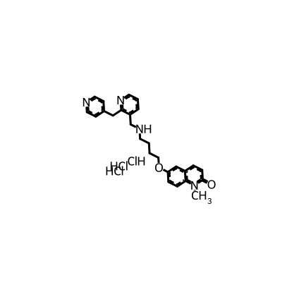 Cl.Cl.Cl.Cn1c(=O)ccc2cc(OCCCCNCc3cccnc3Cc3ccncc3)ccc21